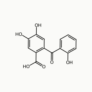 O=C(O)c1cc(O)c(O)cc1C(=O)c1ccccc1O